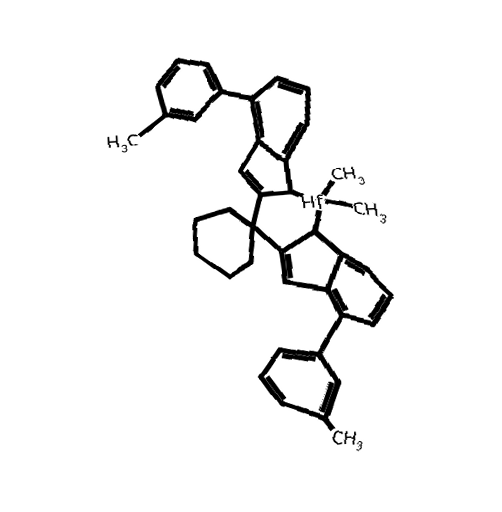 Cc1cccc(-c2cccc3c2C=C2[CH]3[Hf]([CH3])([CH3])[CH]3C(=Cc4c(-c5cccc(C)c5)cccc43)C23CCCCC3)c1